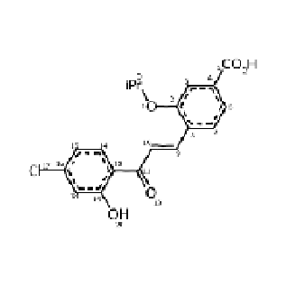 CC(C)Oc1cc(C(=O)O)ccc1/C=C/C(=O)c1ccc(Cl)cc1O